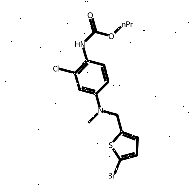 CCCOC(=O)Nc1ccc(N(C)Cc2ccc(Br)s2)cc1Cl